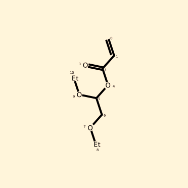 C=CC(=O)OC(COCC)OCC